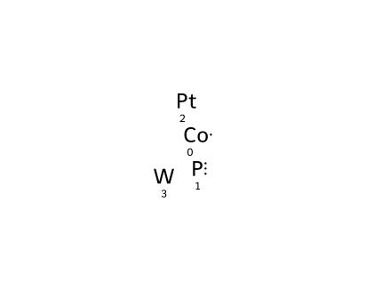 [Co].[P].[Pt].[W]